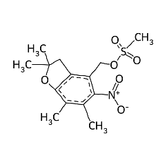 Cc1c(C)c([N+](=O)[O-])c(COS(C)(=O)=O)c2c1OC(C)(C)C2